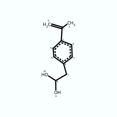 C=C(C)c1ccc(CC(O)O)cc1